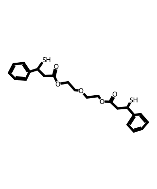 O=C(CC(S)c1ccccc1)OCCOCCOC(=O)CC(S)c1ccccc1